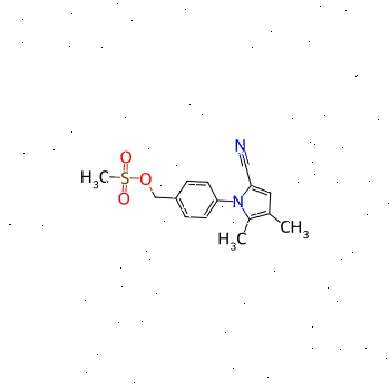 Cc1cc(C#N)n(-c2ccc(COS(C)(=O)=O)cc2)c1C